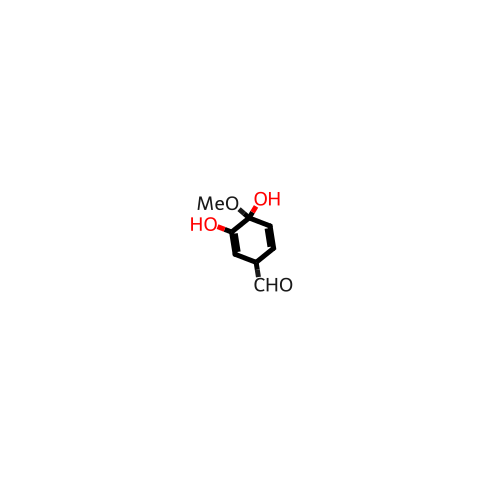 COC1(O)C=CC(C=O)C=C1O